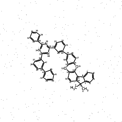 CC1(C)c2ccccc2-c2c1ccc1c2Oc2ccc(-c3cccc(-c4nc(-c5ccccc5)nc(-c5cccc(-c6ccccc6)c5)n4)c3)cc2O1